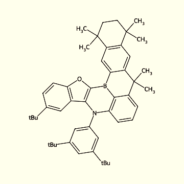 CC(C)(C)c1cc(N2c3cccc4c3B(c3cc5c(cc3C4(C)C)C(C)(C)CCC5(C)C)c3oc4ccc(C(C)(C)C)cc4c32)cc(C(C)(C)C)c1